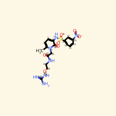 Cc1ccc(NS(=O)(=O)c2cccc([N+](=O)[O-])c2)c(=O)n1CC(=O)NCCONC(=N)N